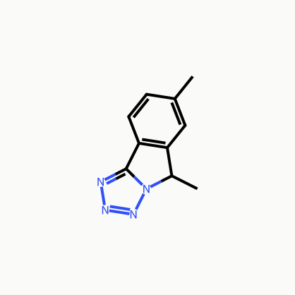 Cc1ccc2c(c1)C(C)n1nnnc1-2